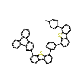 CC1C=CC(c2cccc3c2sc2c(-c4cccc(-c5cccc6c5sc5c(-c7ccc8c9ccccc9c9ccccc9c8c7)cccc56)c4)cccc23)=CC1